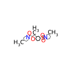 CC1CCN(C(=O)C2Oc3ccc(S(=O)(=O)N4CCCC(C)C4)cc3C2C)CC1